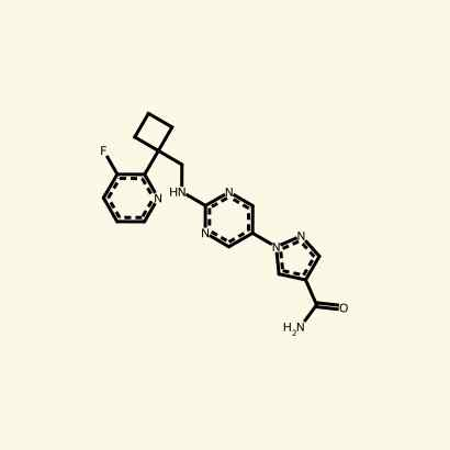 NC(=O)c1cnn(-c2cnc(NCC3(c4ncccc4F)CCC3)nc2)c1